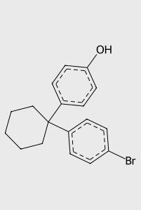 Oc1ccc(C2(c3ccc(Br)cc3)CCCCC2)cc1